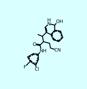 CC(C1=CNC(O)c2ccccc21)C(CCC#N)C(=O)Nc1ccc(F)c(Cl)c1